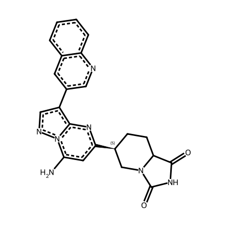 Nc1cc([C@H]2CCC3C(=O)NC(=O)N3C2)nc2c(-c3cnc4ccccc4c3)cnn12